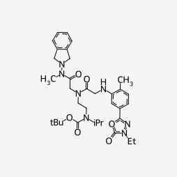 CCn1nc(-c2ccc(C)c(NCC(=O)N(CCN(C(=O)OC(C)(C)C)C(C)C)CC(=O)N(C)N3Cc4ccccc4C3)c2)oc1=O